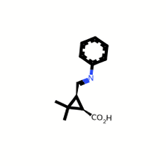 CC1(C)[C@H](C(=O)O)[C@@H]1C=Nc1ccccc1